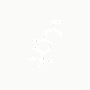 CCOC(=O)C(Br)=Cc1ccc(S(C)(=O)=O)cc1